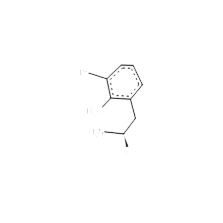 Cc1c(Br)cccc1C[C@@H](C)N